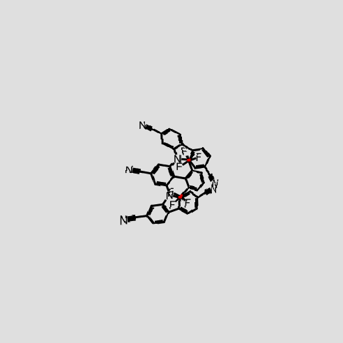 N#Cc1cc(-n2c3cc(C#N)ccc3c3ccc(C#N)cc32)c(-c2c(C(F)(F)F)cccc2C(F)(F)F)c(-n2c3cc(C#N)ccc3c3ccc(C#N)cc32)c1